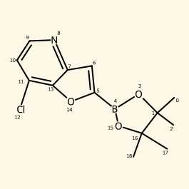 CC1(C)OB(c2cc3nccc(Cl)c3o2)OC1(C)C